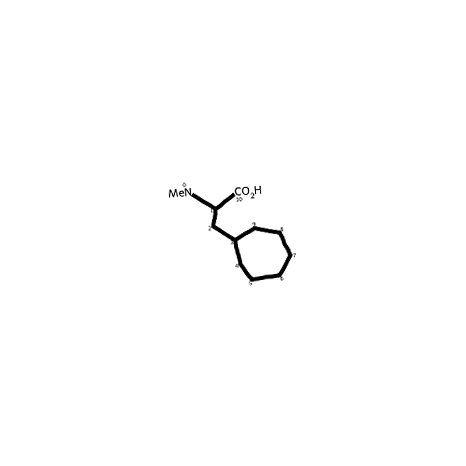 CNC(CC1CCCCCC1)C(=O)O